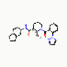 C[C@H]1[C@@H](C(=O)Nc2ccc3c(c2)CCC3)CCCN1C(=O)c1ccccc1-n1cccn1